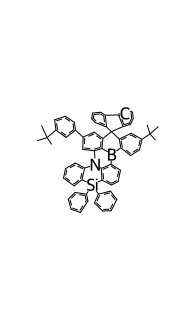 CC(C)(C)c1cccc(-c2cc3c4c(c2)C2(c5cc(C(C)(C)C)ccc5B4c4cccc5c4N3c3ccccc3[Si]5(c3ccccc3)c3ccccc3)c3ccccc3-c3ccccc32)c1